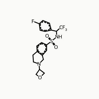 O=S(=O)(NC(c1ccc(F)cc1)C(F)(F)F)c1ccc2c(c1)CN(C1COC1)CC2